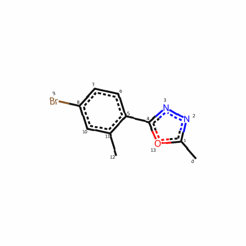 Cc1nnc(-c2ccc(Br)cc2C)o1